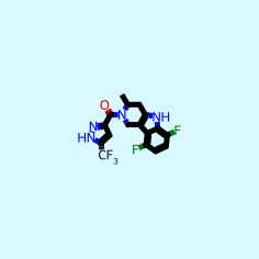 CC1Cc2[nH]c3c(F)ccc(F)c3c2CN1C(=O)c1cc(C(F)(F)F)[nH]n1